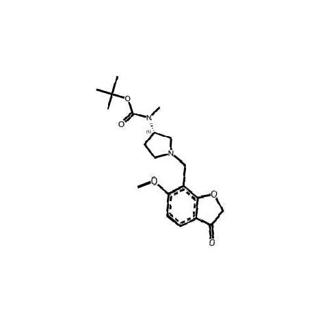 COc1ccc2c(c1CN1CC[C@H](N(C)C(=O)OC(C)(C)C)C1)OCC2=O